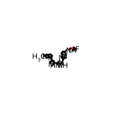 Cn1cc2ccn(-c3cncc(C4=CN(Cc5cn6cc(CNCC78CC(F)(C7)C8)ccc6n5)NN4)c3)c2c1